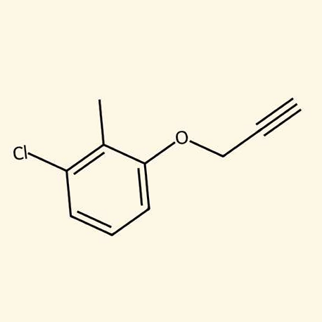 C#CCOc1cccc(Cl)c1C